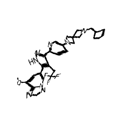 COc1cc(-c2[nH]nc(-c3ccc(N4CC5(CN(CC6CCC6)C5)C4)cn3)c2CC(F)(F)F)cn2ncnc12